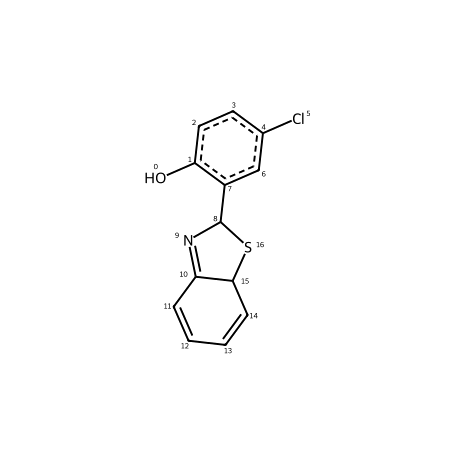 Oc1ccc(Cl)cc1C1N=C2C=CC=CC2S1